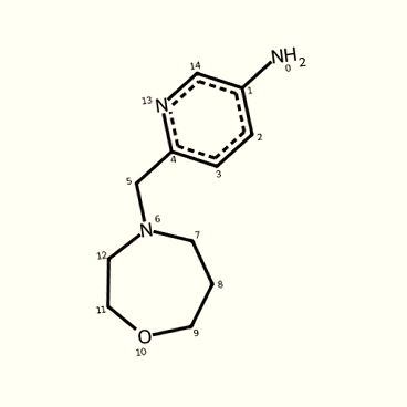 Nc1ccc(CN2CCCOCC2)nc1